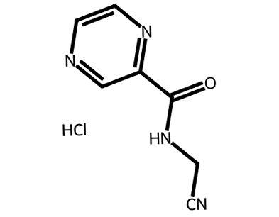 Cl.N#CCNC(=O)c1cnccn1